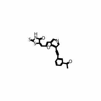 CC(=O)c1cccc(C#Cc2cncc3cc(C=C4SC(=S)NC4=O)oc23)c1